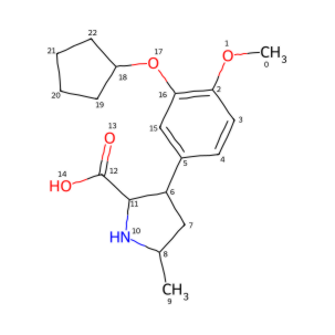 COc1ccc(C2CC(C)NC2C(=O)O)cc1OC1CCCC1